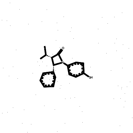 CC(C)[C@@H]1C(=O)N(c2ccc(S)cc2)[C@@H]1c1ccccc1